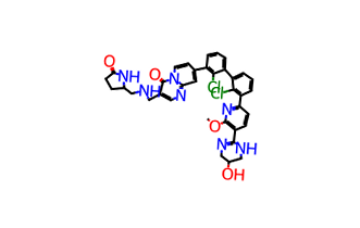 COc1nc(-c2cccc(-c3cccc(-c4ccn5c(=O)c(CNCC6CCC(=O)N6)cnc5c4)c3Cl)c2Cl)ccc1C1=NCC(O)CN1